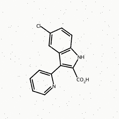 O=C(O)c1[nH]c2ccc(Cl)cc2c1-c1ccccn1